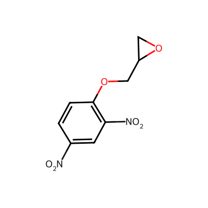 O=[N+]([O-])c1ccc(OCC2CO2)c([N+](=O)[O-])c1